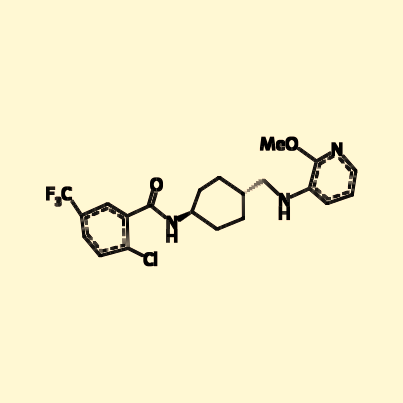 COc1ncccc1NC[C@H]1CC[C@H](NC(=O)c2cc(C(F)(F)F)ccc2Cl)CC1